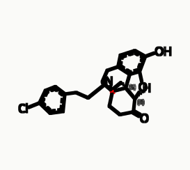 O=C1CCC2C3Cc4ccc(O)c5c4[C@@]2(CCN3CCc2ccc(Cl)cc2)[C@H]1O5